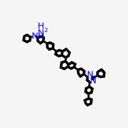 Nc1cc(-c2ccc(-c3ccc4c(-c5cccc6cc(-c7ccc(-c8cc(-c9ccc(-c%10ccccc%10)cc9)nc(-c9ccccc9)n8)cc7)ccc56)cccc4c3)cc2)ccc1Nc1ccccc1